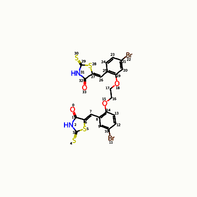 O=C1NC(=S)S/C1=C\c1cc(Br)ccc1OCCOc1cc(Br)ccc1/C=C1\SC(=S)NC1=O